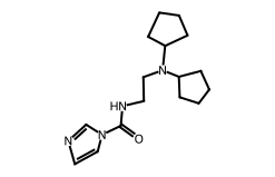 O=C(NCCN(C1CCCC1)C1CCCC1)n1ccnc1